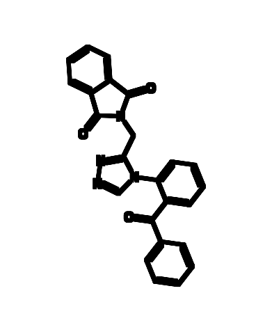 O=C(c1ccccc1)c1ccccc1-n1cnnc1CN1C(=O)c2ccccc2C1=O